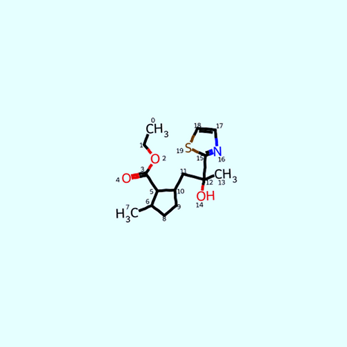 CCOC(=O)C1C(C)CCC1CC(C)(O)c1nccs1